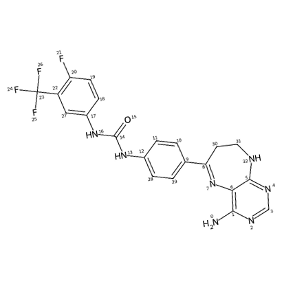 Nc1ncnc2c1N=C(c1ccc(NC(=O)Nc3ccc(F)c(C(F)(F)F)c3)cc1)CCN2